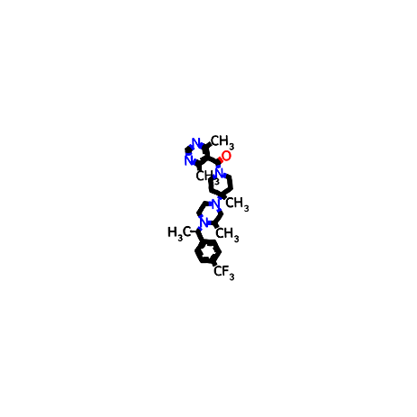 Cc1ncnc(C)c1C(=O)N1CCC(C)(N2CCN([C@@H](C)c3ccc(C(F)(F)F)cc3)C(C)C2)CC1